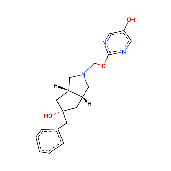 Oc1cnc(OCN2C[C@@H]3C[C@@](O)(Cc4ccccc4)C[C@@H]3C2)nc1